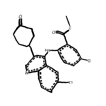 COC(=O)c1cc(Cl)ccc1Nc1c(C2CCC(=O)CC2)cnc2ccc(Cl)cc12